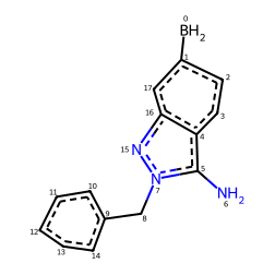 Bc1ccc2c(N)n(Cc3ccccc3)nc2c1